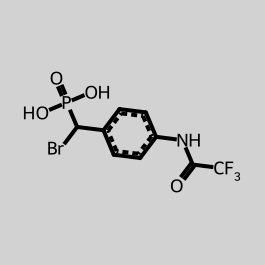 O=C(Nc1ccc(C(Br)P(=O)(O)O)cc1)C(F)(F)F